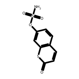 NS(=O)(=O)Oc1ccc2ccc(=O)sc2c1